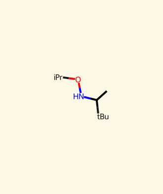 CC(C)ONC(C)C(C)(C)C